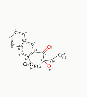 CCC1(C(=O)c2cc3ccccc3cc2C=O)OC1C